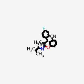 CNC(/N=C(/Oc1cccc(C#N)c1)C(C)Cc1ccc(F)cc1)=C(C)C